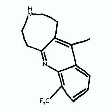 Cc1c2c(nc3c(C(F)(F)F)cccc13)CCNCC2